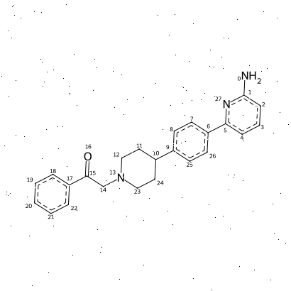 Nc1cccc(-c2ccc(C3CCN(CC(=O)c4ccccc4)CC3)cc2)n1